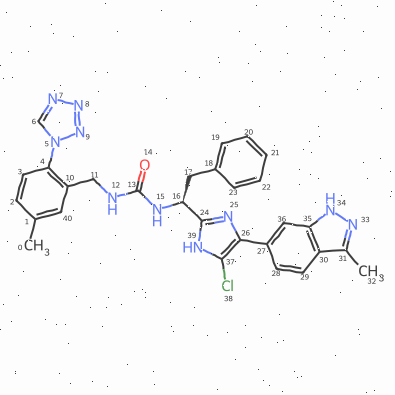 Cc1ccc(-n2cnnn2)c(CNC(=O)N[C@@H](Cc2ccccc2)c2nc(-c3ccc4c(C)n[nH]c4c3)c(Cl)[nH]2)c1